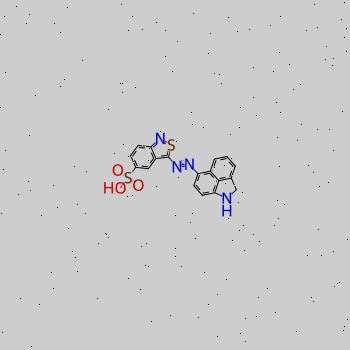 O=S(=O)(O)c1ccc2nsc(/N=N/c3ccc4c5c(cccc35)CN4)c2c1